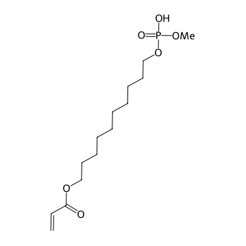 C=CC(=O)OCCCCCCCCCCOP(=O)(O)OC